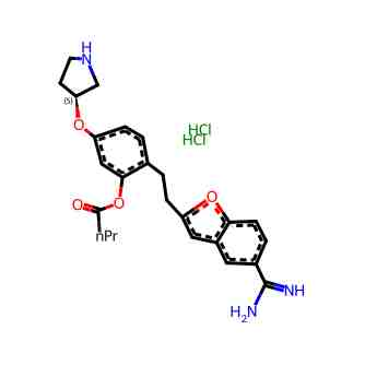 CCCC(=O)Oc1cc(O[C@H]2CCNC2)ccc1CCc1cc2cc(C(=N)N)ccc2o1.Cl.Cl